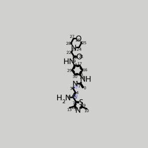 C=C(/N=C\C=C(/N)c1sc(C)nc1C)Nc1ccc(NC(=O)CN2CCOCC2)cc1